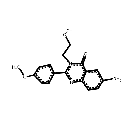 COCCn1c(-c2ccc(OC)cc2)nc2ccc(N)cc2c1=O